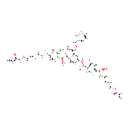 C=CC(=O)OCCCCCCOc1ccc(C(=O)Oc2ccc(OC(=O)c3ccc(C(O)CCCCCOC(=O)C=C)cc3F)cc2C(=O)OCc2ccccc2)c(F)c1